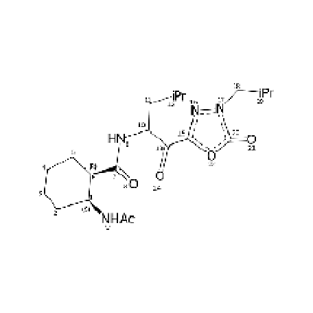 CC(=O)N[C@H]1CCCC[C@H]1C(=O)NC(CC(C)C)C(=O)c1nn(CC(C)C)c(=O)o1